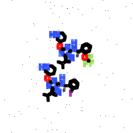 CC(C)c1cnn2c(N[C@@H](C)c3ccccc3I)nc(OC3CCCNC3)nc12.CC(C)c1cnn2c(N[C@@H](C)c3ccccc3OC(F)(F)F)nc(OC3CCCNC3)nc12